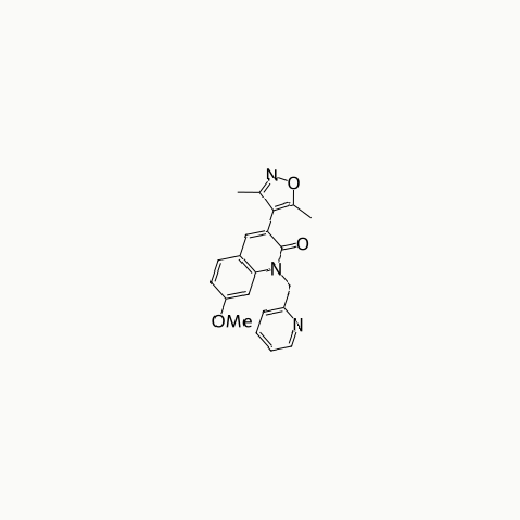 COc1ccc2cc(-c3c(C)noc3C)c(=O)n(Cc3ccccn3)c2c1